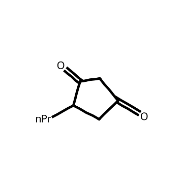 CCCC1CC(=O)CC1=O